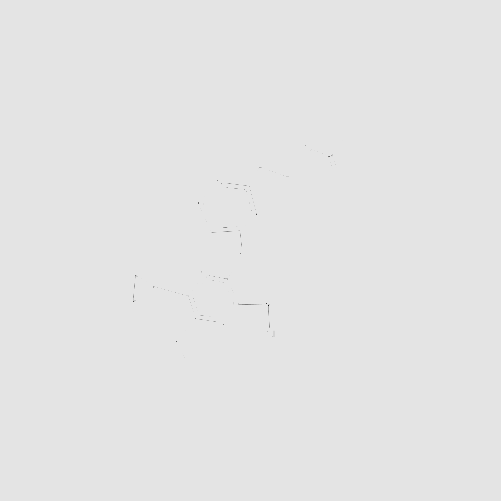 [CH2]C(=O)NCCc1cc(Nc2nc(C3CC3)c(CC)nc2C(N)=O)ccn1